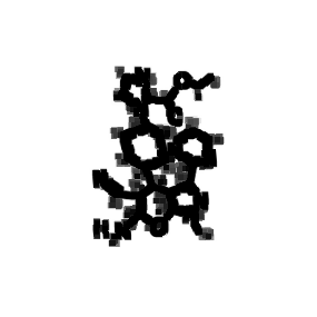 CCOC(=O)c1nccn1-c1ccc(C2C(C#N)=C(N)Oc3c2c(-c2ncccn2)nn3C)cc1